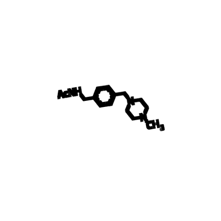 CC(=O)NCc1ccc(CN2CCN(C)CC2)cc1